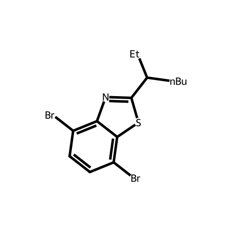 CCCCC(CC)c1nc2c(Br)ccc(Br)c2s1